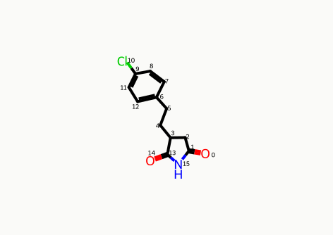 O=C1CC(CCc2ccc(Cl)cc2)C(=O)N1